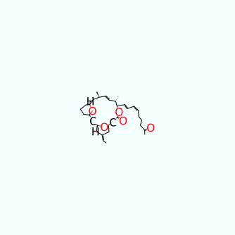 C/C=C1\CC2CC(=O)OC(/C=C/C=C\CCCC(C)=O)[C@@H](C)/C=C/[C@H](C)C[C@H]3CCCC(C[C@@H](C1)O2)O3